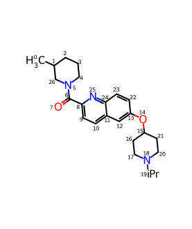 CC1CCCN(C(=O)c2ccc3cc(OC4CCN(C(C)C)CC4)ccc3n2)C1